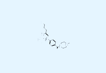 CN1CCN(C(=O)c2ccc(N(N)/C=C(\N)CCCF)cc2)CC1